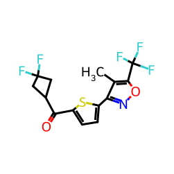 Cc1c(-c2ccc(C(=O)C3CC(F)(F)C3)s2)noc1C(F)(F)F